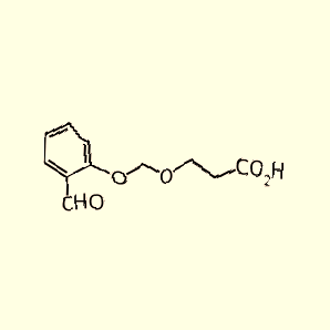 O=Cc1ccccc1OCOCCC(=O)O